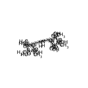 CCC(C(=O)O)N1CCN(C(CC)C(=O)O)Cc2cc(CCCNCNCCCc3cc4nc(c3)CN(C(CC)C(=O)O)CCN(C(CC)C(=O)O)CCN(C(CC)C(=O)O)C4)cc(n2)CN(C(CC)C(=O)O)CC1